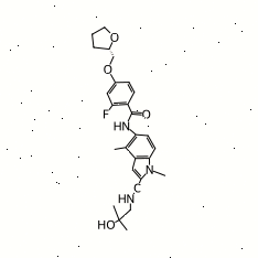 Cc1c(NC(=O)c2ccc(OC[C@@H]3CCCO3)cc2F)ccc2c1cc(CNCC(C)(C)O)n2C